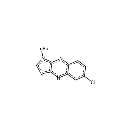 CCCCn1cnc2nc3cc(Cl)ccc3nc21